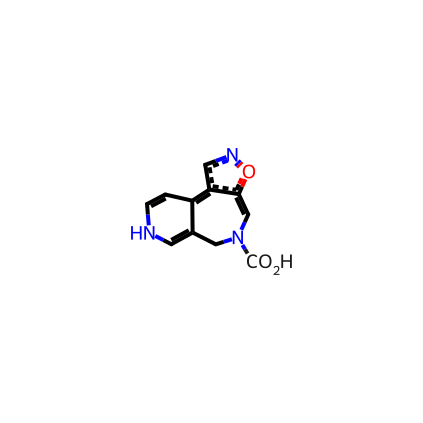 O=C(O)N1C=c2oncc2=C2C=CNC=C2C1